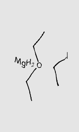 CCI.CCOCC.[MgH2]